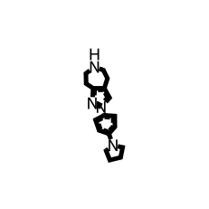 c1cc(-n2cc3c(n2)CCNCC3)ccc1N1CCCC1